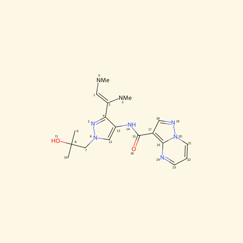 CN/C=C(\NC)c1nn(CC(C)(C)O)cc1NC(=O)c1cnn2cccnc12